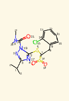 CC(C)c1nc(SC(Cc2ccccc2Cl)=S(=O)=O)n(C(=O)N(C)C)n1